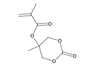 C=C(C)C(=O)OC1(C)COC(=O)OC1